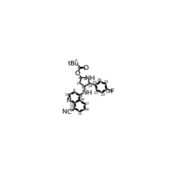 CC(C)(C)C(=O)OC1CC(Nc2ccnc3c(C#N)cccc23)C(c2ccc(F)cc2)N1